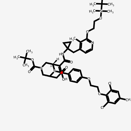 Cc1cc(Cl)c(OCCOc2ccc(C3=C(C(=O)NC4(Cc5ccnc(OCCO[Si](C)(C)C(C)(C)C)c5C)CC4)[C@H]4CN(C(=O)OC(C)(C)C)CC(C3)N4C(=O)O)cc2)c(Cl)c1